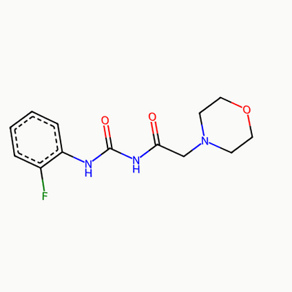 O=C(CN1CCOCC1)NC(=O)Nc1ccccc1F